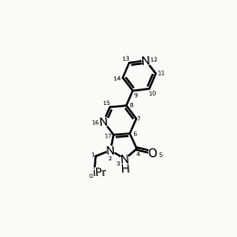 CC(C)Cn1[nH]c(=O)c2cc(-c3ccncc3)cnc21